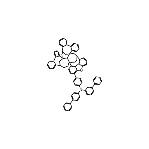 c1ccc(-c2ccc(N(c3ccc(-c4ccc5c6c4oc4cccc(c46)C4CCC56CCC5CC7(CC8CC(C4)(c4ccccc4-c4ccccc48)C76)c4ccccc4-c4ccccc45)cc3)c3cccc(-c4ccccc4)c3)cc2)cc1